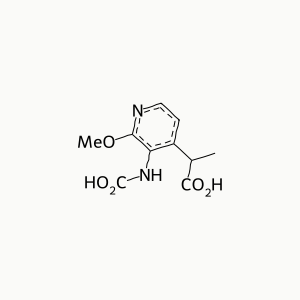 COc1nccc(C(C)C(=O)O)c1NC(=O)O